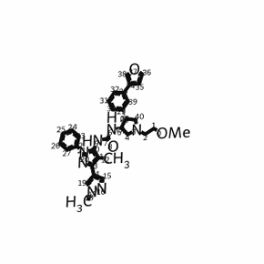 COCCN1C[C@@H](NC(=O)Nc2c(C)c(-c3cnn(C)c3)nn2-c2ccccc2)[C@H](c2cccc(-c3ccoc3)c2)C1